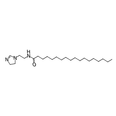 CCCCCCCCCCCCCCCCCC(=O)NCCN1C=NCC1